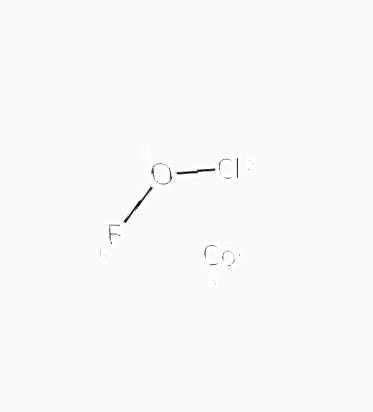 FOCl.[Co]